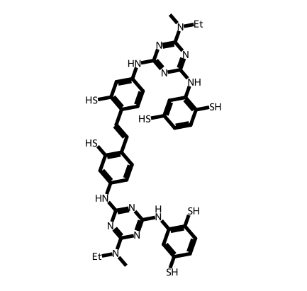 CCN(C)c1nc(Nc2ccc(/C=C/c3ccc(Nc4nc(Nc5cc(S)ccc5S)nc(N(C)CC)n4)cc3S)c(S)c2)nc(Nc2cc(S)ccc2S)n1